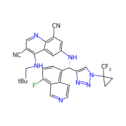 CC(C)(C)CNc1c(C#N)cnc2c(C#N)cc(N[C@H](c3cn(C4(C(F)(F)F)CC4)nn3)c3ccc(F)c4cnccc34)cc12